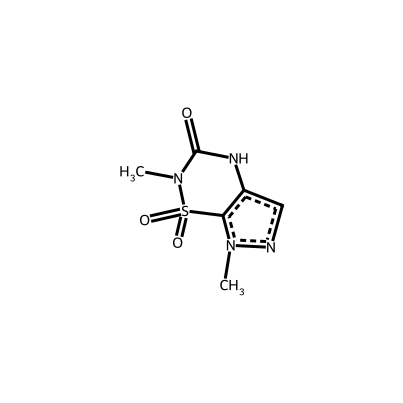 CN1C(=O)Nc2cnn(C)c2S1(=O)=O